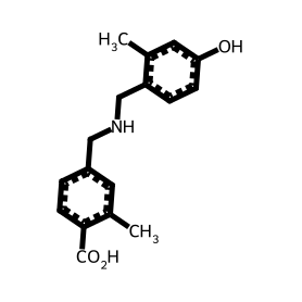 Cc1cc(O)ccc1CNCc1ccc(C(=O)O)c(C)c1